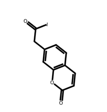 O=C(I)Cc1ccc2ccc(=O)oc2c1